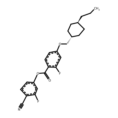 CCC[C@H]1CC[C@H](COc2ccc(C(=O)Oc3ccc(C#N)c(F)c3)c(F)c2)CC1